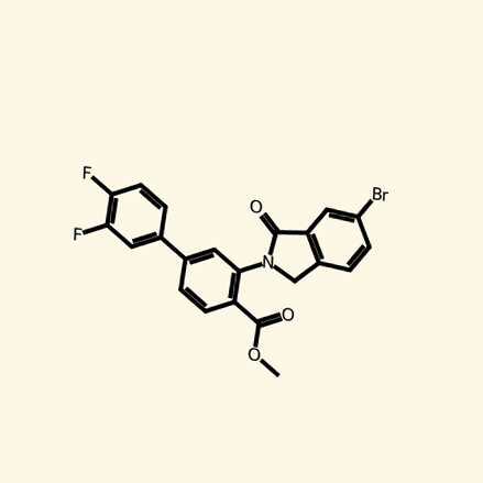 COC(=O)c1ccc(-c2ccc(F)c(F)c2)cc1N1Cc2ccc(Br)cc2C1=O